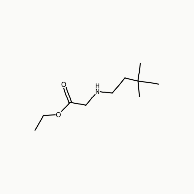 CCOC(=O)CNCCC(C)(C)C